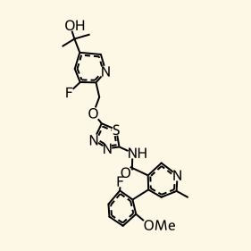 COc1cccc(F)c1-c1cc(C)ncc1C(=O)Nc1nnc(OCc2ncc(C(C)(C)O)cc2F)s1